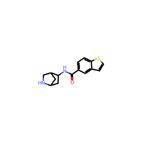 O=C(NC1CC2CC1CN2)c1ccc2sccc2c1